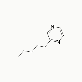 CC[CH]CCc1cnccn1